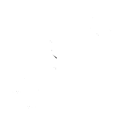 CCCNC(=O)c1ccc(N(C)[C@@H](CN2CC[C@H](OCOC)C2)c2cccc(OCOC)c2)cc1